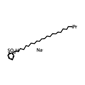 CC(C)CCCCCCCCCCCCCCCCCCCCCc1ccccc1S(=O)(=O)O.[Na]